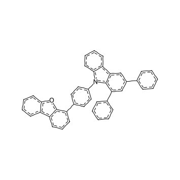 c1ccc(-c2cc(-c3ccccc3)c3c(c2)c2ccccc2n3-c2ccc(-c3cccc4c3oc3ccccc34)cc2)cc1